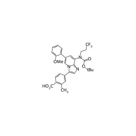 COc1ccccc1-c1cc(N(CCC(F)(F)F)C(=O)OC(C)(C)C)c2ncc(-c3ccc(C(=O)O)c(C)c3)n2c1